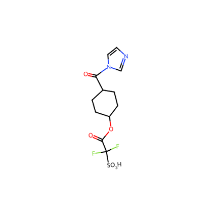 O=C(C1CCC(OC(=O)C(F)(F)S(=O)(=O)O)CC1)n1ccnc1